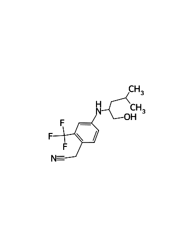 CC(C)CC(CO)Nc1ccc(CC#N)c(C(F)(F)F)c1